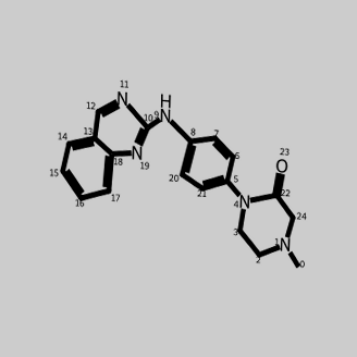 CN1CCN(c2ccc(Nc3ncc4ccccc4n3)cc2)C(=O)C1